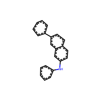 c1ccc(Nc2ccc3ccc(-c4ccccc4)cc3c2)cc1